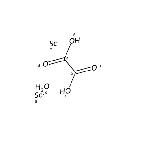 O.O=C(O)C(=O)O.[Sc].[Sc]